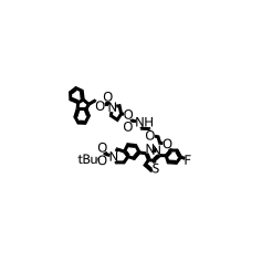 CC(C)(C)OC(=O)N1CCc2cc(-c3nnc(-c4ccc(F)cc4OCCOCCNC(=O)OC4CCN(C(=O)OCC5c6ccccc6-c6ccccc65)C4)c4sccc34)ccc2C1